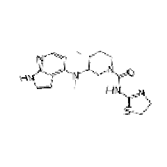 C[C@@H]1CCN(C(=O)NC2=NCCS2)CC1N(C)c1ccnc2[nH]ccc12